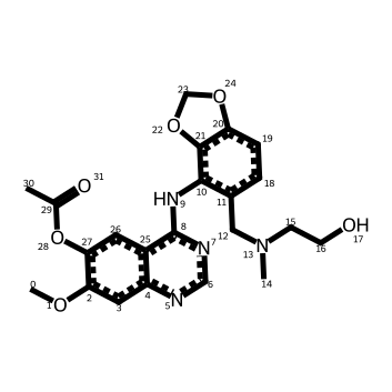 COc1cc2ncnc(Nc3c(CN(C)CCO)ccc4c3OCO4)c2cc1OC(C)=O